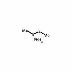 [Mo][S][S][Mo].[PbH2]